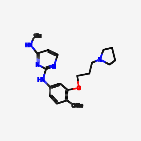 COc1ccc(Nc2nccc(NC(C)(C)C)n2)cc1OCCCN1CCCC1